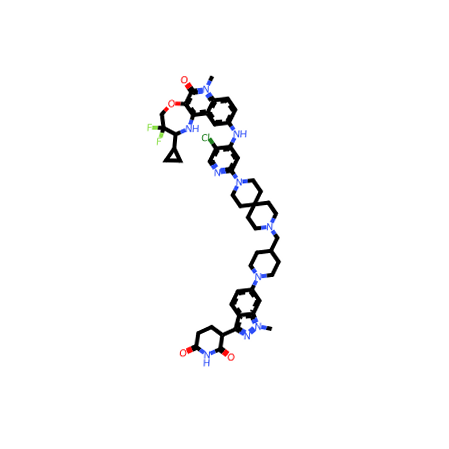 Cn1nc(C2CCC(=O)NC2=O)c2ccc(N3CCC(CN4CCC5(CC4)CCN(c4cc(Nc6ccc7c(c6)c6c(c(=O)n7C)OCC(F)(F)C(C7CC7)N6)c(Cl)cn4)CC5)CC3)cc21